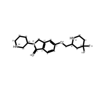 O=C1c2ccc(OCC3CC(F)(F)CCN3)cc2CN1C1CCCNC1